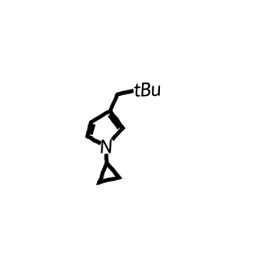 CC(C)(C)Cc1ccn(C2CC2)c1